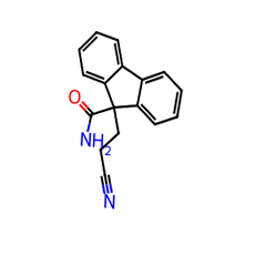 N#CCCC1(C(N)=O)c2ccccc2-c2ccccc21